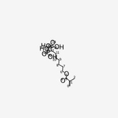 C=C(C)C(=O)OCCCCCCC(P(=O)(O)O)P(=O)(O)O